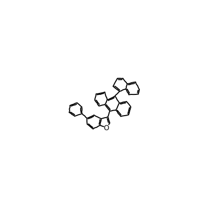 c1ccc(-c2ccc3occ(-c4c5ccccc5c(-c5cccc6ccccc56)c5ccccc45)c3c2)cc1